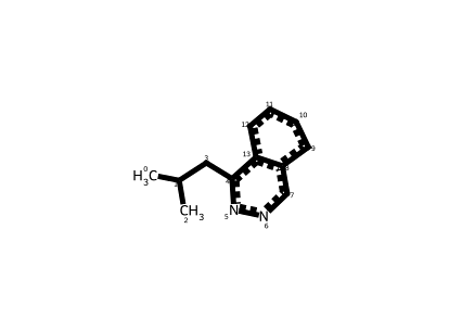 CC(C)Cc1nncc2ccccc12